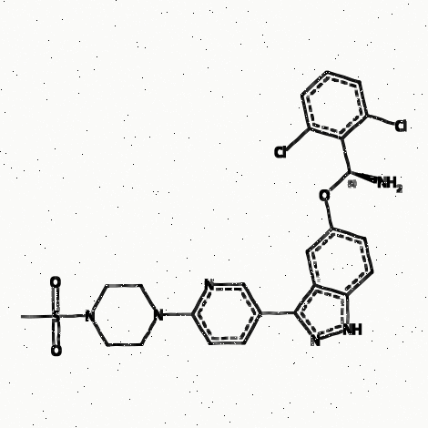 CS(=O)(=O)N1CCN(c2ccc(-c3n[nH]c4ccc(O[C@H](N)c5c(Cl)cccc5Cl)cc34)cn2)CC1